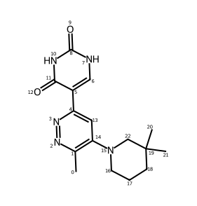 Cc1nnc(-c2c[nH]c(=O)[nH]c2=O)cc1N1CCCC(C)(C)C1